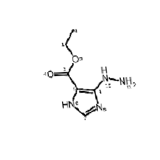 CCOC(=O)c1[nH]cnc1NN